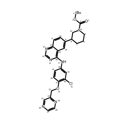 CC(C)(C)OC(=O)N1CCCC(c2ccc3ncnc(Nc4ccc(OCc5cnccn5)c(Cl)c4)c3c2)C1